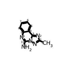 Cc1nc2c3ccccc3nc(N)n2n1